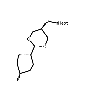 CCCCCCCO[C@H]1CO[C@H]([C@H]2CC[C@H](F)CC2)OC1